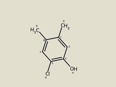 Cc1cc(O)c(Cl)cc1C